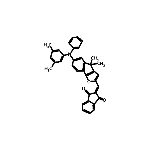 Cc1cc(C)cc(N(c2ccccc2)c2ccc3c(c2)C(C)(C)c2cc(C=C4C(=O)c5ccccc5C4=O)oc2-3)c1